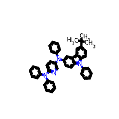 CC(C)(C)c1ccc2c(c1)c1cc(N(c3ccccc3)c3ccc(N(c4ccccc4)c4ccccc4)nc3)ccc1n2-c1ccccc1